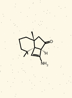 CC1(C)CCC[C@]2(C)CC(=O)[C@H]3C(N)=C[C@@]312